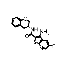 Nc1c(C(=O)N[C@H]2COc3ccccc3C2)sc2ncc(F)cc12